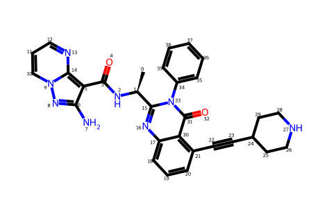 C[C@H](NC(=O)c1c(N)nn2cccnc12)c1nc2cccc(C#CC3CCNCC3)c2c(=O)n1-c1ccccc1